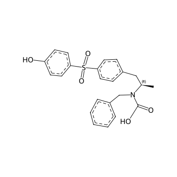 C[C@H](Cc1ccc(S(=O)(=O)c2ccc(O)cc2)cc1)N(Cc1ccccc1)C(=O)O